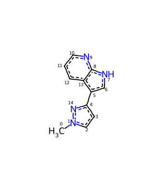 Cn1ccc(-c2c[nH]c3ncccc23)n1